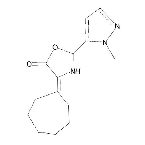 Cn1nccc1C1NC(=C2CCCCCC2)C(=O)O1